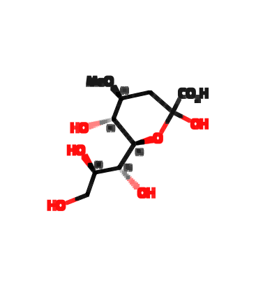 CO[C@H]1CC(O)(C(=O)O)O[C@@H]([C@H](O)[C@H](O)CO)[C@@H]1O